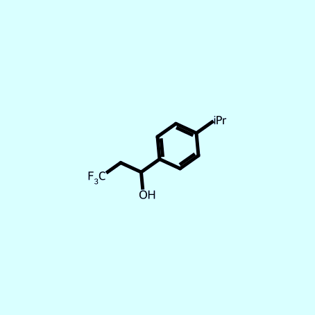 CC(C)c1ccc(C(O)CC(F)(F)F)cc1